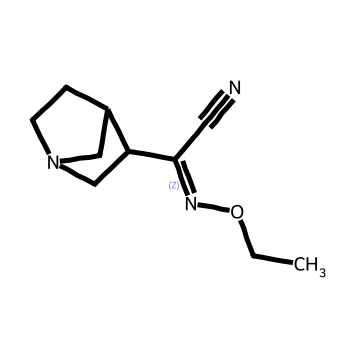 CCO/N=C(\C#N)C1CN2CCC1C2